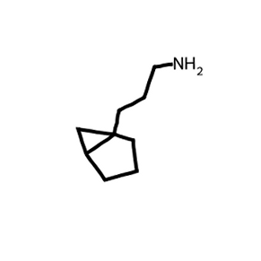 NCCCC12CCCC1C2